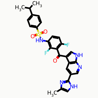 Cc1c[nH]c(-c2cnc3[nH]cc(C(=O)c4c(F)ccc(NS(=O)(=O)c5ccc(C(C)C)cc5)c4F)c3c2)n1